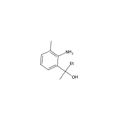 CCC(C)(O)c1cccc(C)c1N